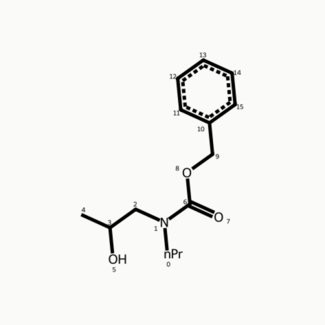 CCCN(CC(C)O)C(=O)OCc1ccccc1